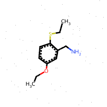 CCOc1ccc(SCC)c(CN)c1